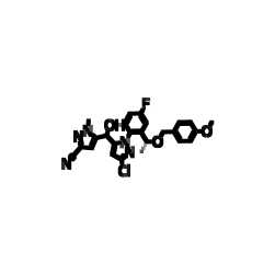 COc1ccc(CO[C@H](C)c2cc(F)ccc2-n2nc(Cl)cc2C(O)c2cc(C#N)nn2C)cc1